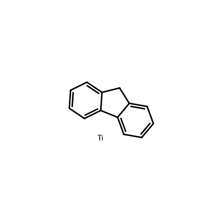 [Ti].c1ccc2c(c1)Cc1ccccc1-2